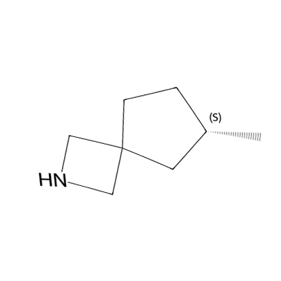 C[C@H]1CCC2(CNC2)C1